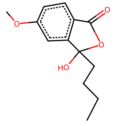 CCCCC1(O)OC(=O)c2ccc(OC)cc21